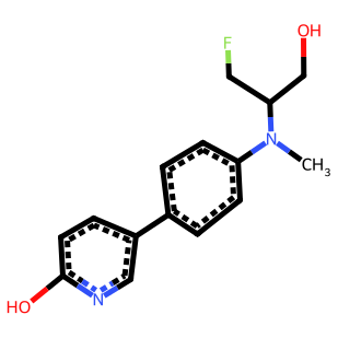 CN(c1ccc(-c2ccc(O)nc2)cc1)C(CO)CF